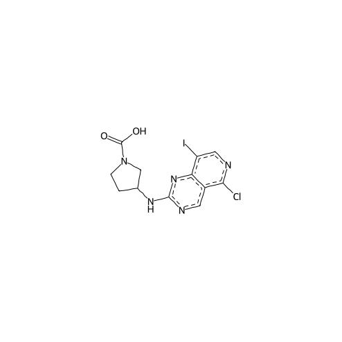 O=C(O)N1CCC(Nc2ncc3c(Cl)ncc(I)c3n2)C1